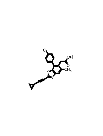 Cc1cc2nc(C#CC3CC3)sc2c(-c2ccc(Cl)cc2)c1CC(=O)O